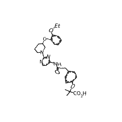 CCOc1ccccc1OC1CCCN(c2nccc(NC(=O)Cc3ccc(OC(C)(C)C(=O)O)cc3)n2)C1